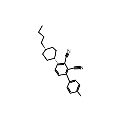 CCCC[C@H]1CC[C@H](c2ccc(-c3ccc(C)cc3)c(C#N)c2C#N)CC1